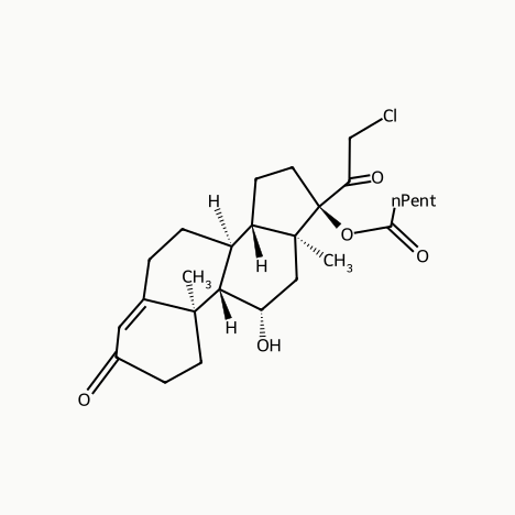 CCCCCC(=O)O[C@]1(C(=O)CCl)CC[C@H]2[C@@H]3CCC4=CC(=O)CC[C@]4(C)[C@H]3[C@@H](O)C[C@@]21C